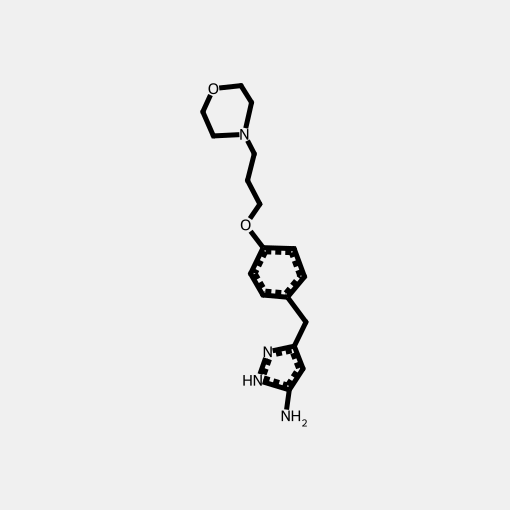 Nc1cc(Cc2ccc(OCCCN3CCOCC3)cc2)n[nH]1